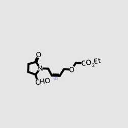 CCOC(=O)COC/C=C\CN1C(=O)CCC1C=O